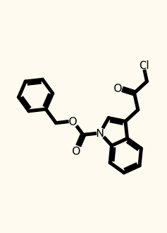 O=C(CCl)Cc1cn(C(=O)OCc2ccccc2)c2ccccc12